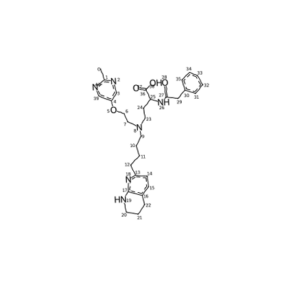 Cc1ncc(OCCN(CCCCc2ccc3c(n2)NCCC3)CCC(NC(=O)Cc2ccccc2)C(=O)O)cn1